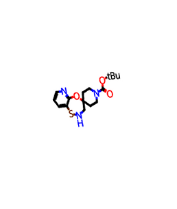 CC(C)(C)OC(=O)N1CCC2(CC1)CNSc1cccnc1O2